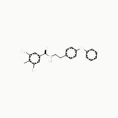 [CH2]c1c(Br)cc(C(=O)NCCc2ccc(Oc3ccccc3)cc2)cc1Br